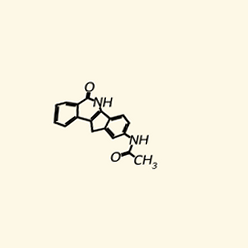 CC(=O)Nc1ccc2c(c1)Cc1c-2[nH]c(=O)c2ccccc12